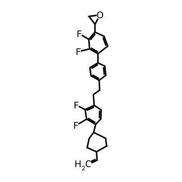 C=CC1CCC(c2ccc(CCc3ccc(-c4ccc(C5CO5)c(F)c4F)cc3)c(F)c2F)CC1